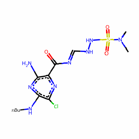 CCCCNc1nc(N)c(C(=O)N=CNNS(=O)(=O)N(C)C)nc1Cl